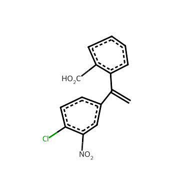 C=C(c1ccc(Cl)c([N+](=O)[O-])c1)c1ccccc1C(=O)O